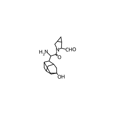 NC(C(=O)N1CC2CC2C1C=O)C1C2CC3CC1CC(O)(C3)C2